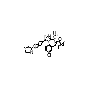 CC1c2nnc(C3CC4(C3)CN(c3cnccn3)C4)n2-c2ccc(Cl)cc2CN1C(=O)C1(F)CC1